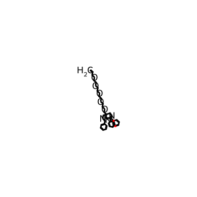 C=CCOCCOCCOCCOCCOCC12CN3C(c4ccccc4)N(C1)C(c1ccccc1)N(C2)C3c1ccccc1